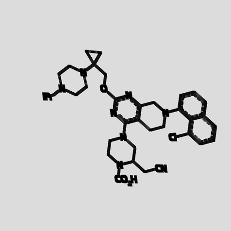 CC(C)N1CCN(C2(COc3nc4c(c(N5CCN(C(=O)O)C(CC#N)C5)n3)CCN(c3cccc5cccc(Cl)c35)C4)CC2)CC1